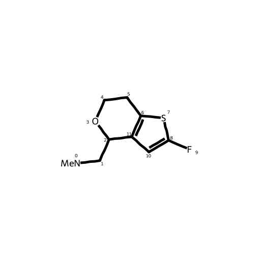 CNCC1OCCc2sc(F)cc21